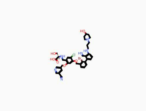 N#Cc1cncc(COc2cc(OCc3cccc(-c4cccc(NCCCN5CCC(O)CC5)c4C=N)c3Br)c(Cl)cc2CN[C@@H](CO)C(=O)O)c1